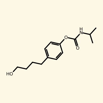 CC(C)NC(=O)Oc1ccc(CCCCO)cc1